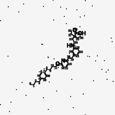 CCCCc1ccc(CCCCOc2cccc(C=Cc3cccc(NCCC(CC)(CC)C(=O)O)c3)n2)cc1